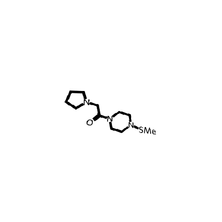 CSN1CCN(C(=O)CN2CCCC2)CC1